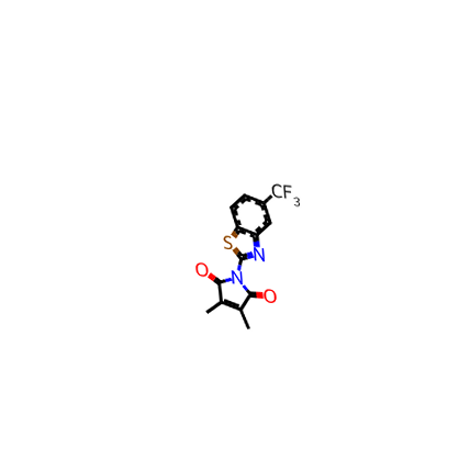 CC1=C(C)C(=O)N(c2nc3cc(C(F)(F)F)ccc3s2)C1=O